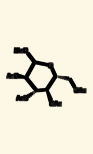 COC1O[C@H](COC(C)=O)[C@@H](OC(C)=O)[C@H](OC(C)=O)[C@H]1OC(C)=O